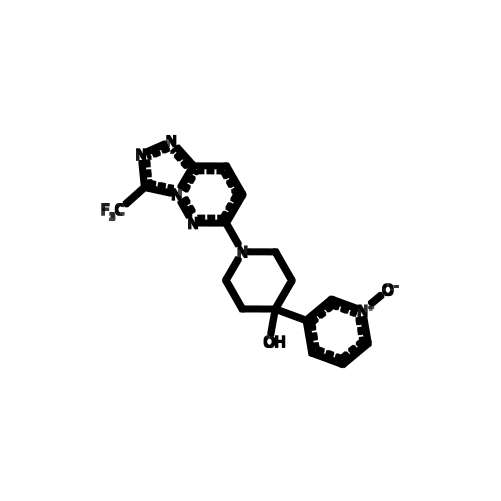 [O-][n+]1cccc(C2(O)CCN(c3ccc4nnc(C(F)(F)F)n4n3)CC2)c1